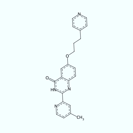 Cc1ccnc(-c2nc3ccc(OCCCc4ccncc4)cc3c(=O)[nH]2)c1